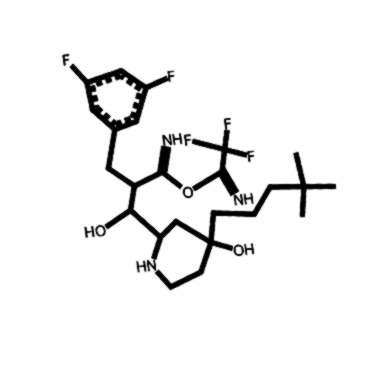 CC(C)(C)CCCC1(O)CCNC(C(O)C(Cc2cc(F)cc(F)c2)C(=N)OC(=N)C(F)(F)F)C1